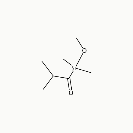 CO[Si](C)(C)C(=O)C(C)C